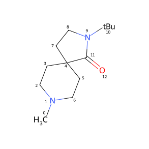 CN1CCC2(CC1)CCN(C(C)(C)C)C2=O